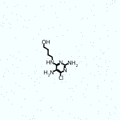 Nc1nc(Cl)c(N)c(NCCCCO)n1